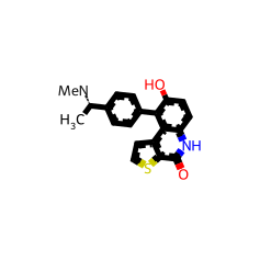 CN[C@@H](C)c1ccc(-c2c(O)ccc3[nH]c(=O)c4sccc4c23)cc1